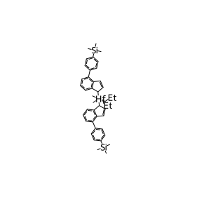 CC[C](CC)=[Hf]([CH3])([CH3])([CH]1C=Cc2c(-c3ccc([Si](C)(C)C)cc3)cccc21)[CH]1C=Cc2c(-c3ccc([Si](C)(C)C)cc3)cccc21